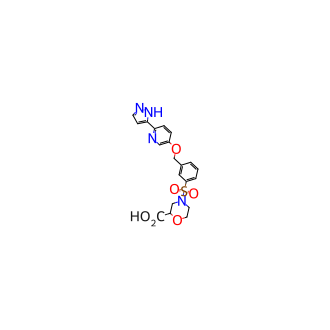 O=C(O)C1CN(S(=O)(=O)c2cccc(COc3ccc(-c4ccn[nH]4)nc3)c2)CCO1